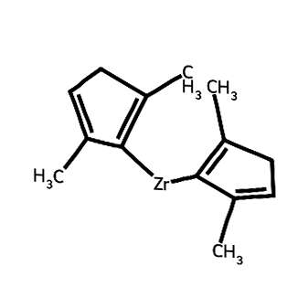 CC1=CCC(C)=[C]1[Zr][C]1=C(C)CC=C1C